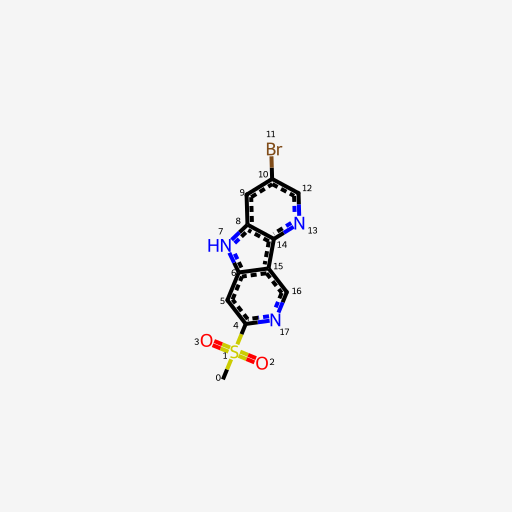 CS(=O)(=O)c1cc2[nH]c3cc(Br)cnc3c2cn1